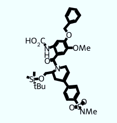 CNS(=O)(=O)c1ccc(C2=CCN(C(=O)c3cc(OC)c(OCc4ccccc4)cc3NC(=O)O)C(CO[Si](C)(C)C(C)(C)C)C2)cc1